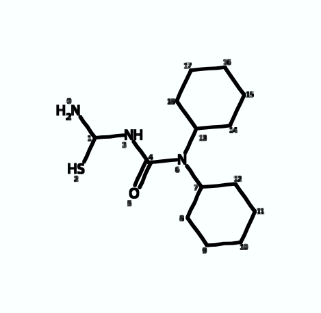 NC(S)NC(=O)N(C1CCCCC1)C1CCCCC1